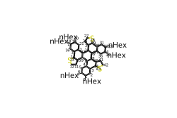 CCCCCCc1cc2c(cc1CCCCCC)c1c3c4ccsc4c4cc(CCCCCC)c(CCCCCC)cc4c3c3c4ccsc4c4cc(CCCCCC)c(CCCCCC)cc4c3c1c1ccsc21